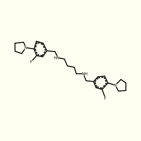 Fc1cc(CNCCCCNCc2ccc(N3CCCC3)c(F)c2)ccc1N1CCCC1